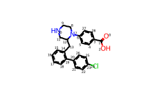 O=C(O)c1ccc(N2CCNCC2Cc2ccccc2-c2ccc(Cl)cc2)cc1